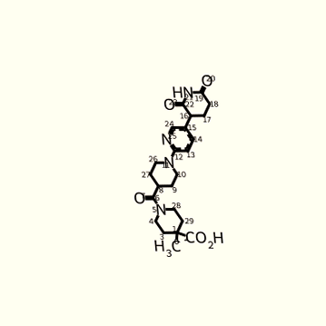 CC1(C(=O)O)CCN(C(=O)C2CCN(c3ccc(C4CCC(=O)NC4=O)cn3)CC2)CC1